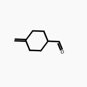 C=C1CCC(C=O)CC1